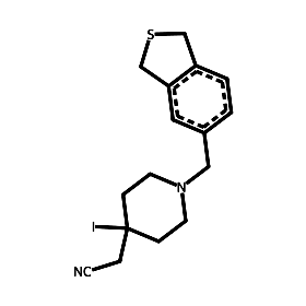 N#CCC1(I)CCN(Cc2ccc3c(c2)CSC3)CC1